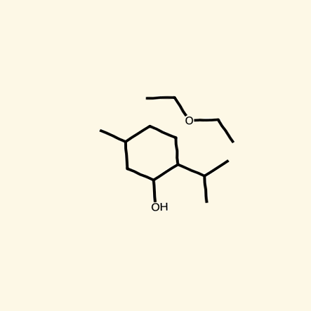 CC1CCC(C(C)C)C(O)C1.CCOCC